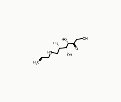 C=CCNC[C@H](O)[C@@H](O)[C@H](O)C(=O)CO